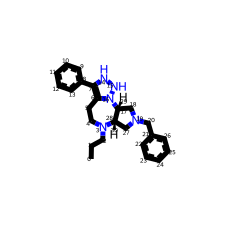 CCCN1CCC2=C(c3ccccc3)NNN2[C@@H]2CN(Cc3ccccc3)C[C@@H]21